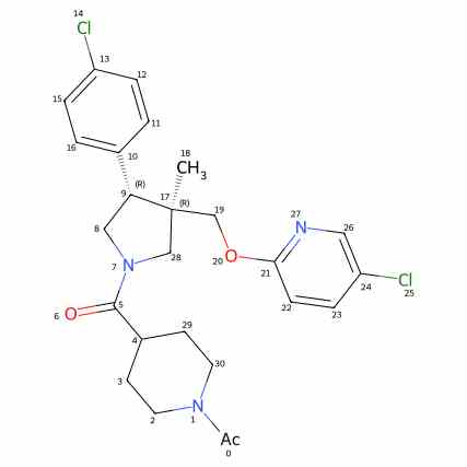 CC(=O)N1CCC(C(=O)N2C[C@H](c3ccc(Cl)cc3)[C@@](C)(COc3ccc(Cl)cn3)C2)CC1